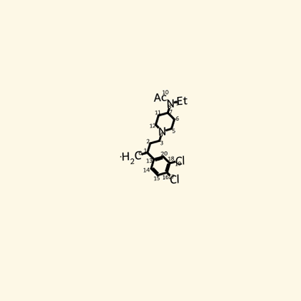 [CH2]C(CCN1CCC(N(CC)C(C)=O)CC1)c1ccc(Cl)c(Cl)c1